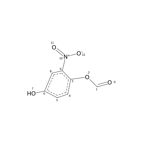 O=COc1ccc(O)cc1[N+](=O)[O-]